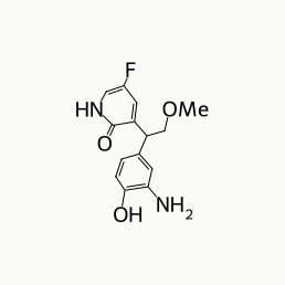 COCC(c1ccc(O)c(N)c1)c1cc(F)c[nH]c1=O